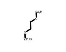 CCOC(=O)OCCOS(=O)(=O)O